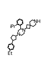 CCc1ccc(C2CCC(N3CCN(C4CC5(CCNCC5)C4)C(c4ccccc4C(C)C)C3)C2)cc1